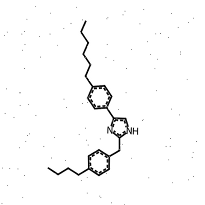 CCCCCCc1ccc(-c2c[nH]c(Cc3ccc(CCCC)cc3)n2)cc1